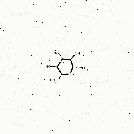 C[C@@H]1[C@@H](O)[C@H](C)O[C@H](C(=O)O)[C@H]1O